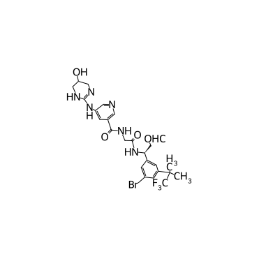 CC(C)(c1cc(Br)cc([C@H](CC=O)NC(=O)CNC(=O)c2cncc(NC3=NCC(O)CN3)c2)c1)C(F)(F)F